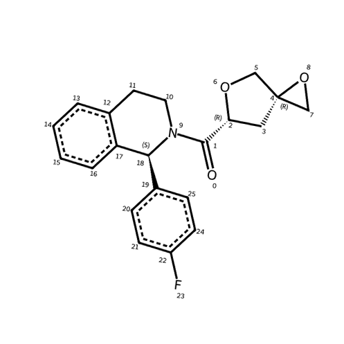 O=C([C@H]1C[C@@]2(CO1)CO2)N1CCc2ccccc2[C@@H]1c1ccc(F)cc1